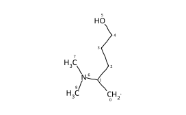 [CH2]C(CCCO)N(C)C